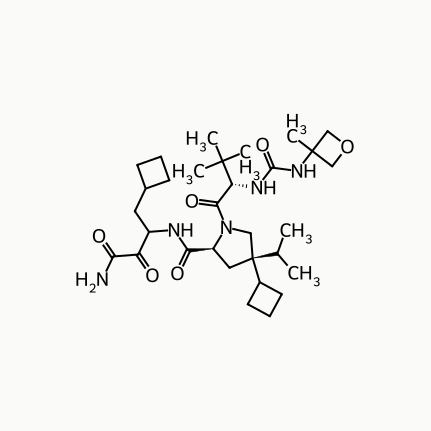 CC(C)[C@@]1(C2CCC2)C[C@@H](C(=O)NC(CC2CCC2)C(=O)C(N)=O)N(C(=O)[C@@H](NC(=O)NC2(C)COC2)C(C)(C)C)C1